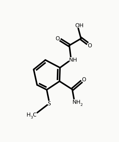 CSc1cccc(NC(=O)C(=O)O)c1C(N)=O